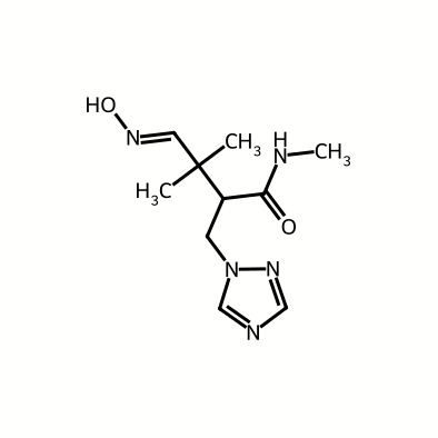 CNC(=O)C(Cn1cncn1)C(C)(C)C=NO